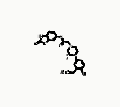 COCc1cc(N2CCN(CC(=O)Nc3ccc4[nH]c(=O)oc4c3)C[C@H]2C)ccc1Cl